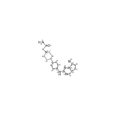 NC(=O)CN1CCC(c2ccc(Nc3ncc4ccc(Br)n4n3)cc2)CC1